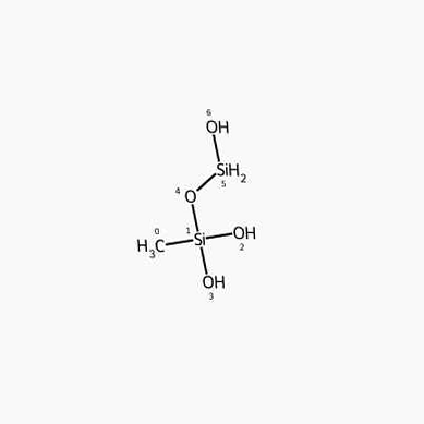 C[Si](O)(O)O[SiH2]O